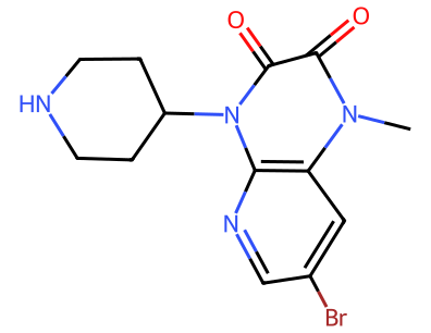 Cn1c(=O)c(=O)n(C2CCNCC2)c2ncc(Br)cc21